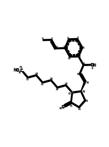 C/C=C/c1cccc(C(O)C=C[C@H]2CCC(=O)N2CCCCCCC(=O)O)c1